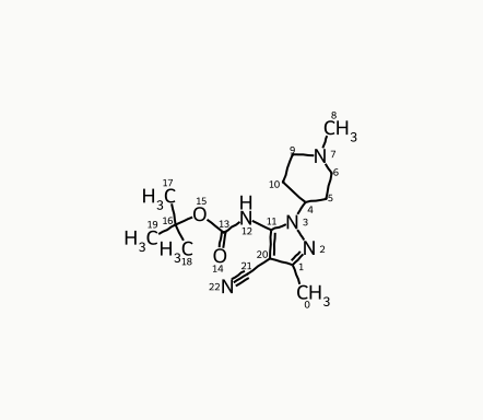 Cc1nn(C2CCN(C)CC2)c(NC(=O)OC(C)(C)C)c1C#N